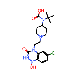 CC(C)(C)N(C(=O)O)C1CCN(CCN2C(=O)NN(O)c3ccc(Cl)cc32)CC1